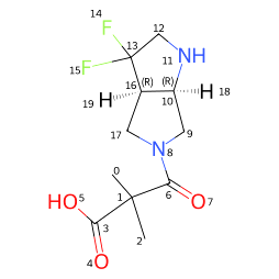 CC(C)(C(=O)O)C(=O)N1C[C@@H]2NCC(F)(F)[C@@H]2C1